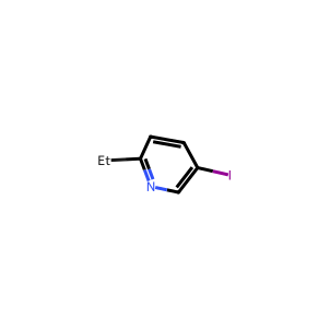 CCc1ccc(I)cn1